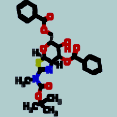 CN(C(=O)OC(C)(C)C)C1=N[C@@H]2[C@H](OC(=O)c3ccccc3)[C@H](O)[C@@H](COC(=O)c3ccccc3)O[C@@H]2S1